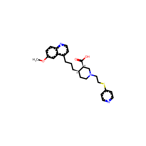 COc1ccc2nccc(CCC[C@@H]3CCN(CCSc4ccncc4)C[C@@H]3C(=O)O)c2c1